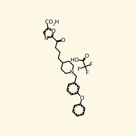 O=C(O)C(F)(F)F.O=C(O)c1cnc(C(=O)CCCC2CCN(Cc3cccc(Oc4ccccc4)c3)CC2)o1